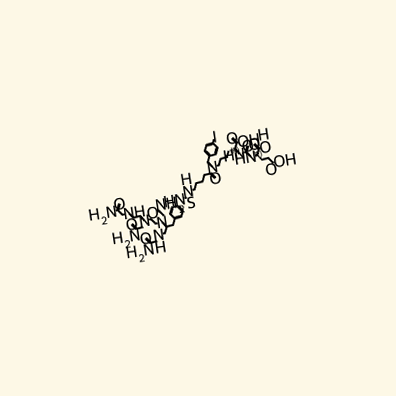 NC(=O)CNCCN(CCN(CC(N)=O)C(CNCC(N)=O)Cc1ccc(NC(=S)NCCCCC(=O)N(CCCC[C@@H](NC(=O)N[C@H](CCC(=O)O)C(=O)O)C(=O)O)Cc2ccc(I)cc2)cc1)CC(N)=O